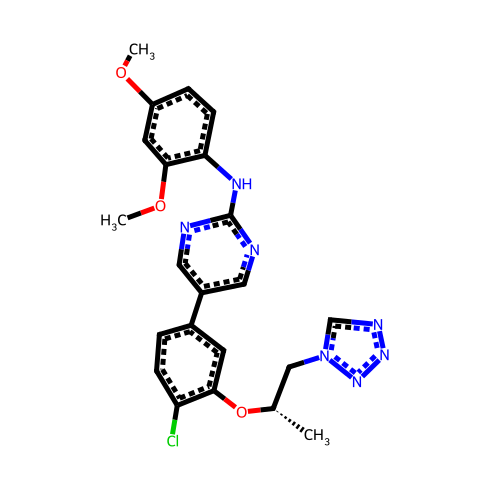 COc1ccc(Nc2ncc(-c3ccc(Cl)c(O[C@@H](C)Cn4cnnn4)c3)cn2)c(OC)c1